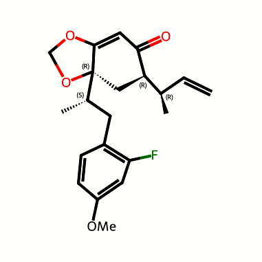 C=C[C@@H](C)[C@H]1C[C@]2([C@@H](C)Cc3ccc(OC)cc3F)OCOC2=CC1=O